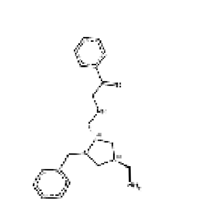 NC[C@@H]1C[C@@H](CNCC(=O)c2ccccc2)N(Cc2ccccc2)C1